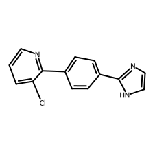 Clc1cccnc1-c1ccc(-c2ncc[nH]2)cc1